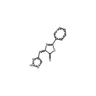 O=C1OC(c2ccccc2)=N/C1=C/c1cn[nH]n1